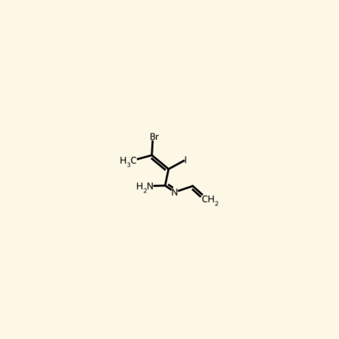 C=C/N=C(N)\C(I)=C(/C)Br